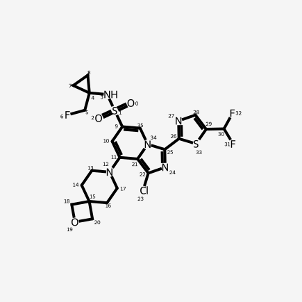 O=S(=O)(NC1(CF)CC1)c1cc(N2CCC3(CC2)COC3)c2c(Cl)nc(-c3ncc(C(F)F)s3)n2c1